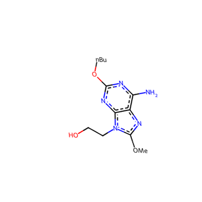 CCCCOc1nc(N)c2nc(OC)n(CCO)c2n1